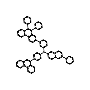 c1ccc(-c2ccc3cc(N(c4ccc(-c5cc6ccccc6c6ccccc56)cc4)c4cccc(-c5ccc6c(c5)c(-c5ccccc5)c(-c5ccccc5)c5ccccc56)c4)ccc3c2)cc1